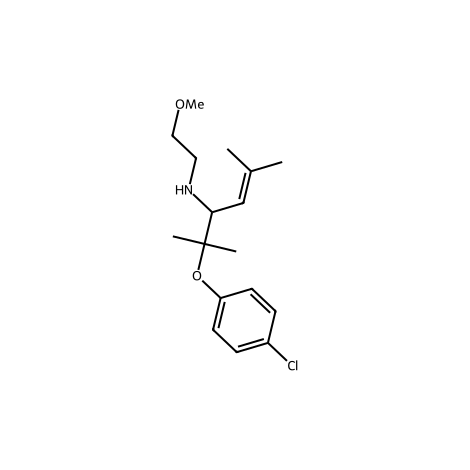 COCCNC(C=C(C)C)C(C)(C)Oc1ccc(Cl)cc1